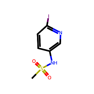 CS(=O)(=O)Nc1ccc(I)nc1